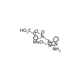 COCCc1nc2c(N)nc3ccccc3c2n1CCCN(Cc1cccc(OCC(=O)O)c1)C(=O)CCl